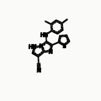 Cc1ccc(Nc2c(-c3cccs3)nc3c(C#N)c[nH]n23)c(C)c1